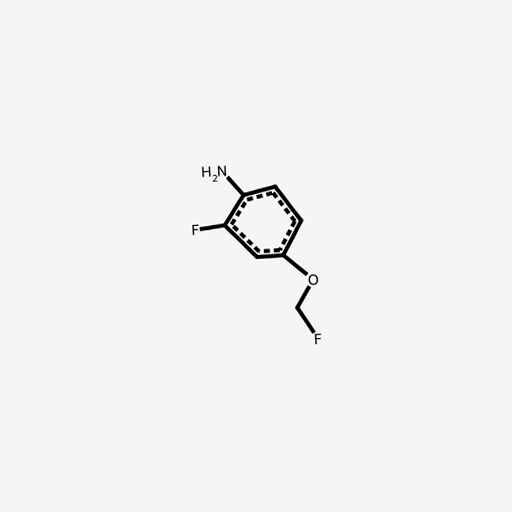 Nc1ccc(OCF)cc1F